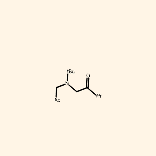 CC(=O)CN(CC(=O)C(C)C)C(C)(C)C